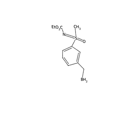 BCc1cccc(S(C)(=O)=NC(=O)OCC)c1